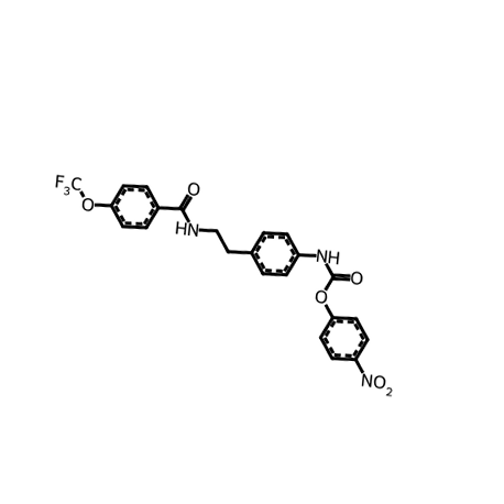 O=C(Nc1ccc(CCNC(=O)c2ccc(OC(F)(F)F)cc2)cc1)Oc1ccc([N+](=O)[O-])cc1